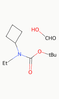 CCN(C(=O)OC(C)(C)C)C1CCC1.O=CO